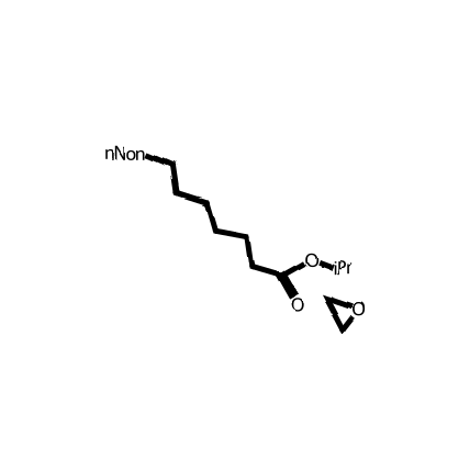 C1CO1.CCCCCCCCCCCCCCCC(=O)OC(C)C